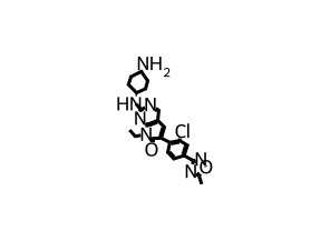 CCn1c(=O)c(-c2ccc(-c3noc(C)n3)cc2Cl)cc2cnc(N[C@H]3CC[C@H](N)CC3)nc21